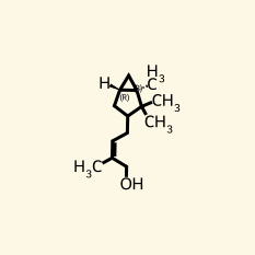 CC(=CCC1C[C@@H]2C[C@@]2(C)C1(C)C)CO